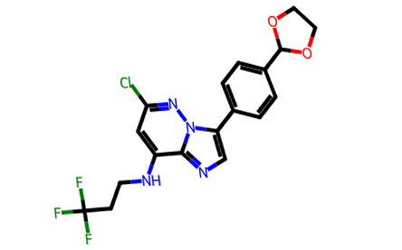 FC(F)(F)CCNc1cc(Cl)nn2c(-c3ccc(C4OCCO4)cc3)cnc12